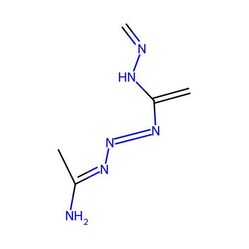 C=NNC(=C)/N=N/N=C(\C)N